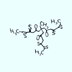 CCC(CC(=O)CC(=S)C1S[C@H]1C)(CC(=O)CC(=S)C1S[C@H]1C)CC(=O)CC(=S)C1S[C@@H]1C